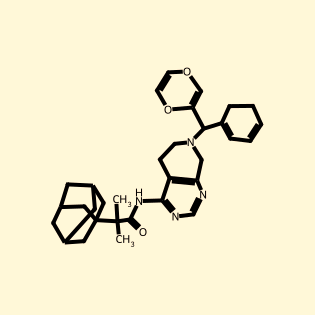 CC(C)(C(=O)Nc1ncnc2c1CCN(C(C1=CC=CCC1)C1=COC=CO1)C2)C12CC3CC(CC(C3)C1)C2